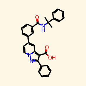 CC(C)(NC(=O)c1cccc(-c2ccn3nc(-c4ccccc4)c(C(=O)O)c3c2)c1)c1ccccc1